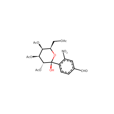 CC(=O)OC[C@H]1O[C@](O)(c2ccc(C=O)cc2[N+](=O)[O-])[C@H](OC(C)=O)[C@@H](OC(C)=O)[C@H]1OC(C)=O